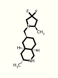 C[C@@H]1C[C@H]2C[C@@H](CN3CC(F)(F)C[C@H]3C)CC[C@H]2CN1